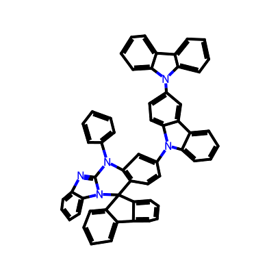 c1ccc(N2c3cc(-n4c5ccccc5c5cc(-n6c7ccccc7c7ccccc76)ccc54)ccc3C3(c4ccccc4-c4ccccc43)n3c2nc2ccccc23)cc1